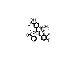 CN1c2ccc(C(=O)O)cc2C(=O)/C(=C/c2ccc(F)c(F)c2)[S+]1[O-].NC(=O)c1cccnc1